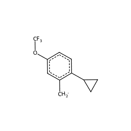 [CH2]c1cc(OC(F)(F)F)ccc1C1CC1